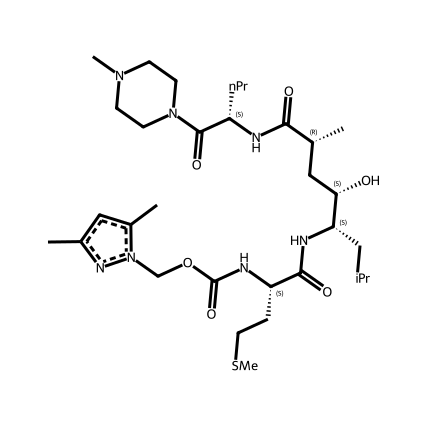 CCC[C@H](NC(=O)[C@H](C)C[C@H](O)[C@H](CC(C)C)NC(=O)[C@H](CCSC)NC(=O)OCn1nc(C)cc1C)C(=O)N1CCN(C)CC1